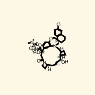 CN(C)S(=O)(=O)NC(=O)[C@@]1(O)CC(=O)N2CC[C@@H]2C/C=C/[C@H](O)[C@@H]2CC[C@H]2CN2C[C@@]3(CCCc4cc(Cl)ccc43)COc3ccc1cc32